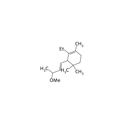 CCC1=C(C)CCC(C)(C)C1C=CC(C)OC